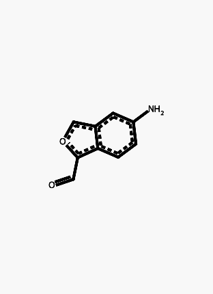 Nc1ccc2c(C=O)occ2c1